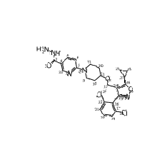 NNC(=O)c1ccc(N2CCC(OCc3c(-c4c(Cl)cccc4Cl)noc3C3CC3)CC2)nc1